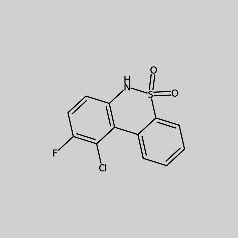 O=S1(=O)Nc2ccc(F)c(Cl)c2-c2ccccc21